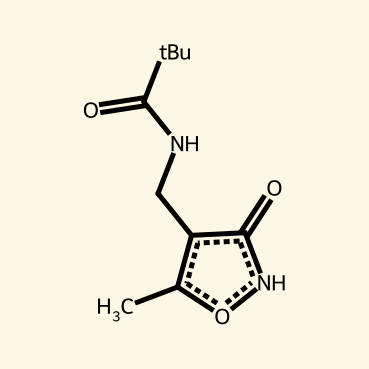 Cc1o[nH]c(=O)c1CNC(=O)C(C)(C)C